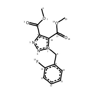 COC(=O)c1nnn(Cc2ccccc2F)c1C(=O)OC